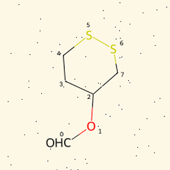 O=COC1CCSSC1